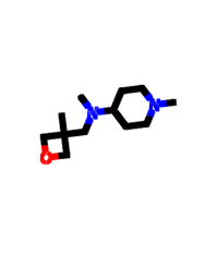 CN1CCC(N(C)CC2(C)COC2)CC1